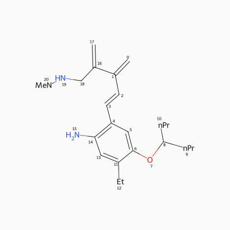 C=C(/C=C/c1cc(OC(CCC)CCC)c(CC)cc1N)C(=C)CNNC